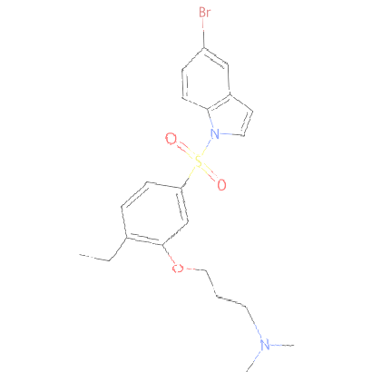 CCc1ccc(S(=O)(=O)n2ccc3cc(Br)ccc32)cc1OCCCN(C)C